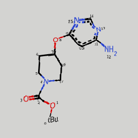 CC(C)(C)OC(=O)N1CCC(Oc2cc(N)ncn2)CC1